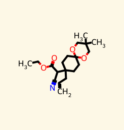 C=CCC1(C(C#N)C(=O)OCC)CCC2(CC1)OCC(C)(C)CO2